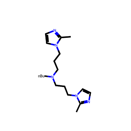 CCCCN(CCCn1ccnc1C)CCCn1ccnc1C